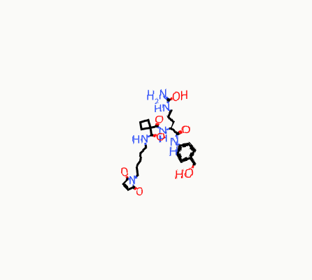 NC(O)NCCC[C@H](NC(=O)C1(C(=O)NCCCCCN2C(=O)C=CC2=O)CCC1)C(=O)Nc1ccc(CO)cc1